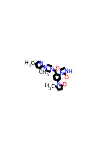 Cc1cnc(N2CCN(C(=O)c3ccc(N4C(=O)CCC4C)cc3N3CCNC3=O)CC2)c(C)c1